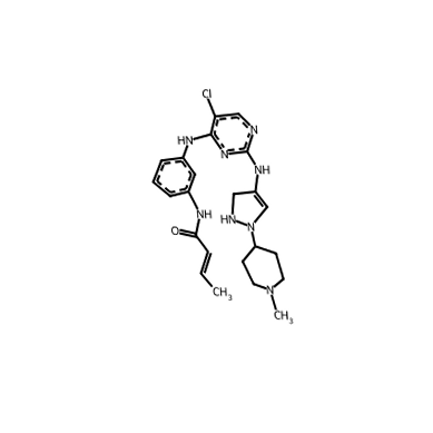 C/C=C/C(=O)Nc1cccc(Nc2nc(NC3=CN(C4CCN(C)CC4)NC3)ncc2Cl)c1